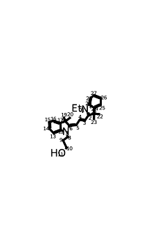 CC[N+]1=C(/C=C/C=C2/N(CCCO)c3ccccc3C2(C)C)C(C)(C)c2ccccc21